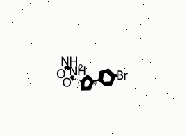 NC(=O)NC(=O)[C@H]1CC[C@H](c2ccc(Br)cc2)C1